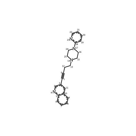 C(#Cc1cnc2ccccc2c1)CCN1CCN(c2ccccn2)CC1